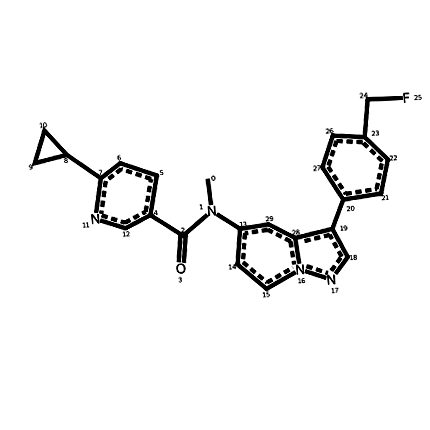 CN(C(=O)c1ccc(C2CC2)nc1)c1ccn2ncc(-c3ccc(CF)cc3)c2c1